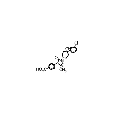 C[C@H]1CN([C@H]2CC[C@](C)(c3cccc(Cl)c3)CC2)C(=O)N1c1ccc(C(=O)O)cc1